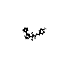 CCN1CCC(CCNC(=O)Nc2cc(-c3ccccc3)ncn2)CC1